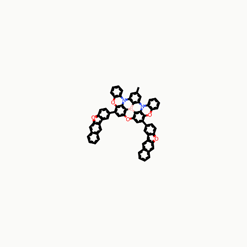 Cc1cc2c3c(c1)N1c4ccccc4Oc4c(-c5ccc6oc7cc8ccccc8cc7c6c5)cc5c(c41)B3c1c(cc(-c3ccc4oc6cc7ccccc7cc6c4c3)c3c1N2c1ccccc1O3)O5